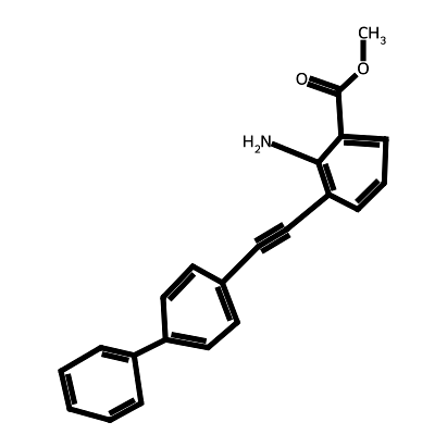 COC(=O)c1cccc(C#Cc2ccc(-c3ccccc3)cc2)c1N